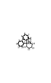 c1ccc(C2(c3ccccc3)CCCCN2)cc1